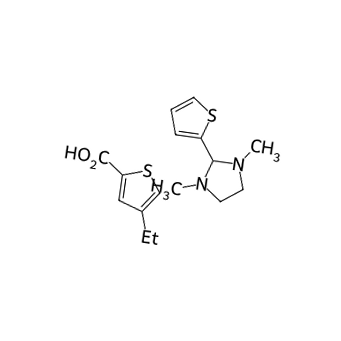 CCc1csc(C(=O)O)c1.CN1CCN(C)C1c1cccs1